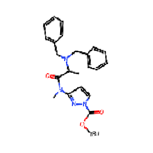 C[C@@H](C(=O)N(C)c1ccn(C(=O)OC(C)(C)C)n1)N(Cc1ccccc1)Cc1ccccc1